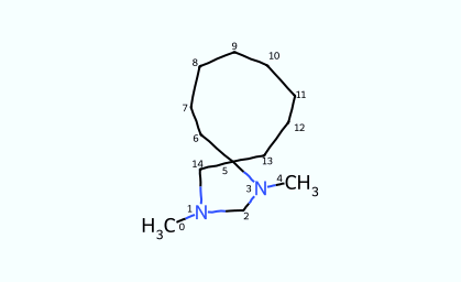 CN1CN(C)C2(CCCCCCCC2)C1